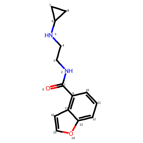 O=C(NCCNC1CC1)c1cccc2occc12